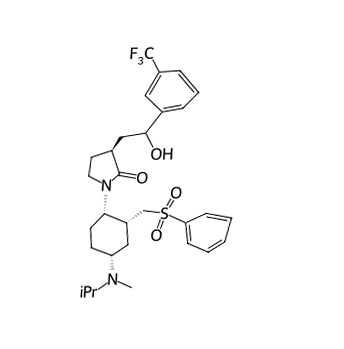 CC(C)N(C)[C@@H]1CC[C@H](N2CC[C@@H](CC(O)c3cccc(C(F)(F)F)c3)C2=O)[C@H](CS(=O)(=O)c2ccccc2)C1